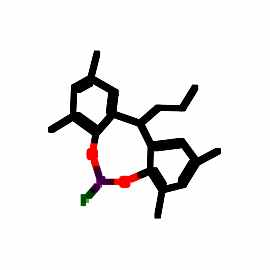 CCCC1c2cc(C)cc(C)c2OP(F)Oc2c(C)cc(C)cc21